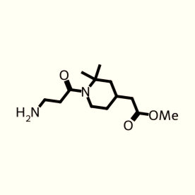 COC(=O)CC1CCN(C(=O)CCN)C(C)(C)C1